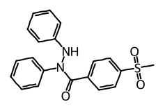 CS(=O)(=O)c1ccc(C(=O)N(Nc2ccccc2)c2ccccc2)cc1